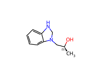 C[C@H](O)CN1CNc2ccccc21